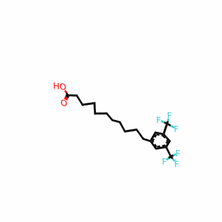 O=C(O)CCCCCCCCCCc1cc(C(F)(F)F)cc(C(F)(F)F)c1